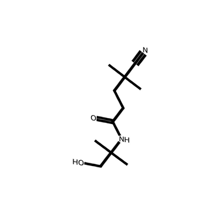 CC(C)(C#N)CCC(=O)NC(C)(C)CO